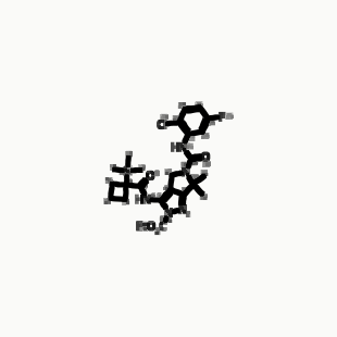 CCOC(=O)n1nc2c(c1NC(=O)C1([Si](C)(C)C)CCC1)CN(C(=O)Nc1cc(F)ccc1Cl)C2(C)C